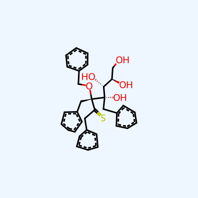 OC[C@@H](O)[C@@H](O)[C@@](O)(Cc1ccccc1)[C@@](Cc1ccccc1)(OCc1ccccc1)C(=S)Cc1ccccc1